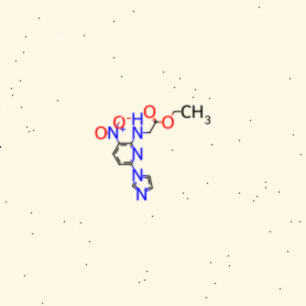 CCOC(=O)CNc1nc(-n2ccnc2)ccc1[N+](=O)[O-]